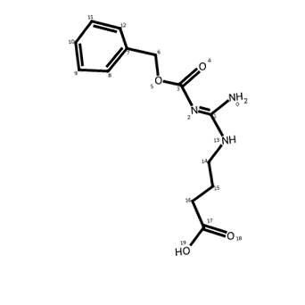 N/C(=N\C(=O)OCc1ccccc1)NCCCC(=O)O